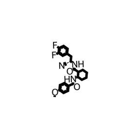 COc1ccc(C(=O)NC2CCCCC2C(=O)N[C@H](C#N)Cc2ccc(F)c(F)c2)cc1